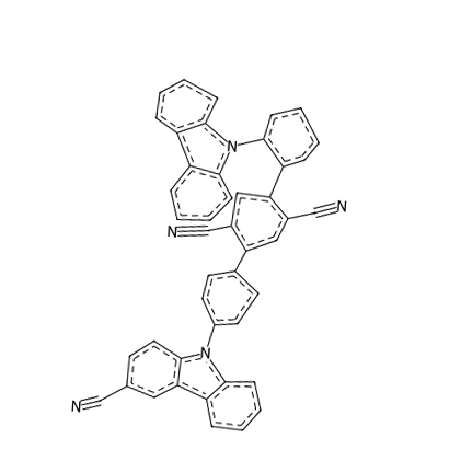 N#Cc1ccc2c(c1)c1ccccc1n2-c1ccc(-c2cc(C#N)c(-c3ccccc3-n3c4ccccc4c4ccccc43)cc2C#N)cc1